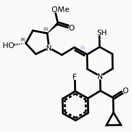 COC(=O)[C@@H]1C[C@@H](O)CN1C/C=C1\CN(C(C(=O)C2CC2)c2ccccc2F)CCC1S